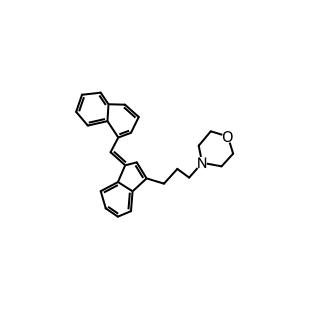 C(=C1C=C(CCCN2CCOCC2)c2ccccc21)c1cccc2ccccc12